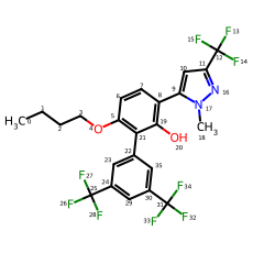 CCCCOc1ccc(-c2cc(C(F)(F)F)nn2C)c(O)c1-c1cc(C(F)(F)F)cc(C(F)(F)F)c1